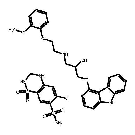 COc1ccccc1OCCNCC(O)COc1cccc2[nH]c3ccccc3c12.NS(=O)(=O)c1cc2c(cc1Cl)NCNS2(=O)=O